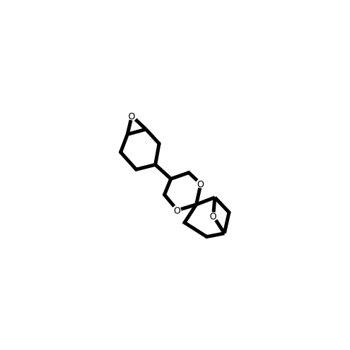 C1CC2(OCC(C3CCC4OC4C3)CO2)C2CC1O2